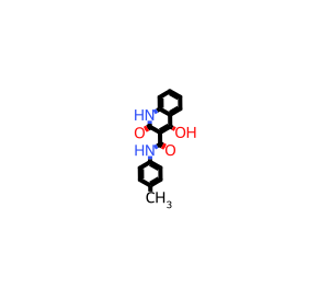 Cc1ccc(NC(=O)c2c(O)c3ccccc3[nH]c2=O)cc1